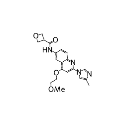 COCCOc1cc(-n2cnc(C)c2)nc2ccc(NC(=O)C3COC3)cc12